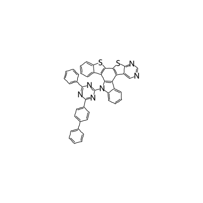 c1ccc(-c2ccc(-c3nc(-c4ccccc4)nc(-n4c5ccccc5c5c6c7cncnc7sc6c6sc7ccccc7c6c54)n3)cc2)cc1